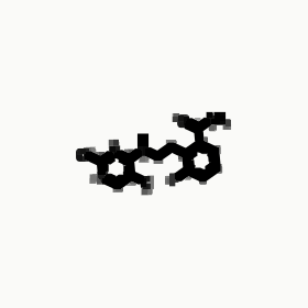 NC(=O)c1cccc(F)c1CCNc1nc(Cl)ncc1Cl